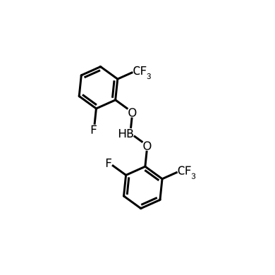 Fc1cccc(C(F)(F)F)c1OBOc1c(F)cccc1C(F)(F)F